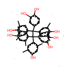 Cc1cc(C(c2ccc(O)c(O)c2)(c2cc(C)c(O)cc2C)C(c2cc(C)c(O)c(C)c2)(c2cc(C)c(O)c(C)c2)c2ccc(O)c(O)c2)c(C)cc1O